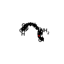 CN1CCN(C2CC3CC2N(c2nnc(C(N)=O)c(CCc4ccc(N5CCN(CC6CCN(c7ccc8c(c7)C(=O)N(C7CCC(=O)NC7=O)C8=O)CC6)CC5)cc4)n2)C3)C1=O